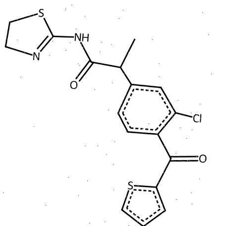 CC(C(=O)NC1=NCCS1)c1ccc(C(=O)c2cccs2)c(Cl)c1